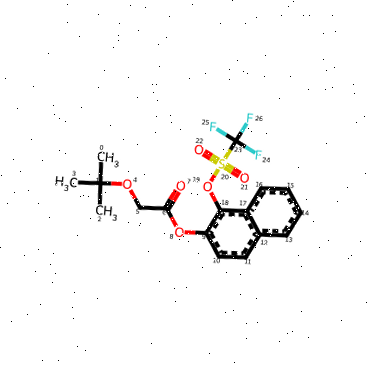 CC(C)(C)OCC(=O)Oc1ccc2ccccc2c1OS(=O)(=O)C(F)(F)F